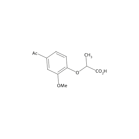 COc1cc(C(C)=O)ccc1OC(C)C(=O)O